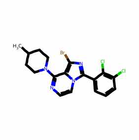 CC1CCN(c2nccn3c(-c4cccc(Cl)c4Cl)nc(Br)c23)CC1